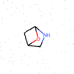 C1NC2CC1O2